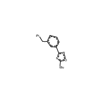 CC(C)Cc1cccc(-c2noc(C(C)(C)C)n2)c1